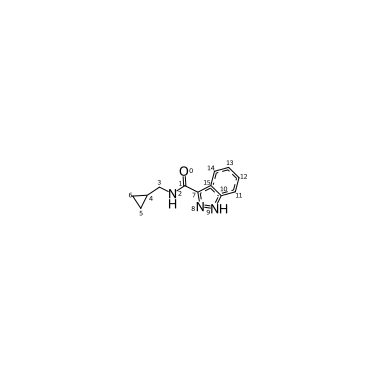 O=C(NCC1CC1)c1n[nH]c2ccccc12